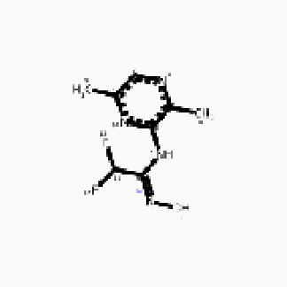 Cc1cnc(C)c(N/C(=N\O)C(F)F)n1